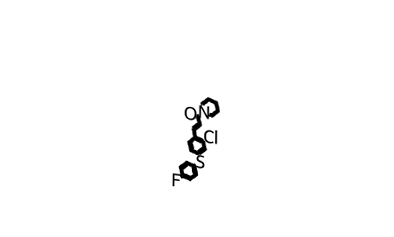 O=C(/C=C/c1ccc(Sc2ccc(F)cc2)cc1Cl)N1CCCCC1